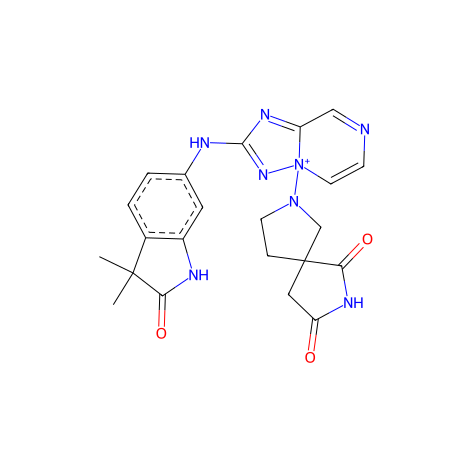 CC1(C)C(=O)Nc2cc(NC3=N[N+]4(N5CCC6(CC(=O)NC6=O)C5)C=CN=CC4=N3)ccc21